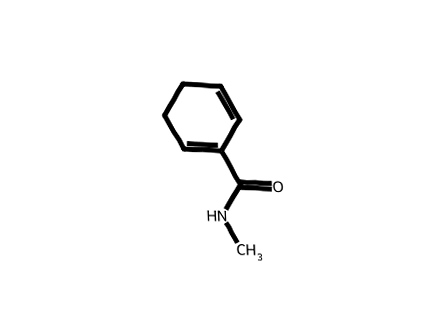 CNC(=O)C1=CCCC=C1